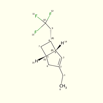 CCC1=C[C@@H]2[C@H](C1)C[C@@H]2CC(F)(F)F